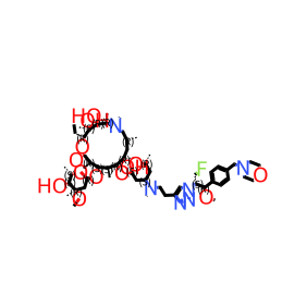 CC[C@H]1OC(=O)[C@H](C)[C@@H](O[C@H]2C[C@@](C)(OC)[C@@H](O)[C@H](C)O2)[C@H](C)[C@@H](O[C@H]2C[C@@H](N(C)CCc3cn([C@H](CF)[C@H](OC)c4ccc(CN5CCOCC5)cc4)nn3)C[C@@H](C)O2)[C@](C)(O)C[C@@H](C)CN(C)[C@H](C)[C@@H](O)[C@]1(C)O